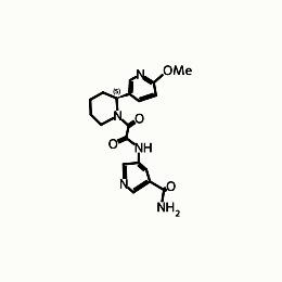 COc1ccc([C@@H]2CCCCN2C(=O)C(=O)Nc2cncc(C(N)=O)c2)cn1